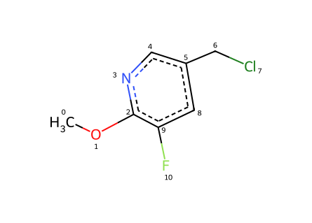 COc1ncc(CCl)cc1F